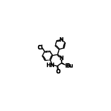 CC[C@H](C)[C@@H]1N=C(c2ccncc2)c2cc(Cl)ccc2NC1=O